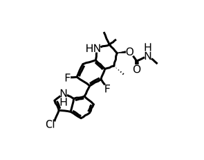 CNC(=O)O[C@H]1[C@H](C)c2c(cc(F)c(-c3cccc4c(Cl)c[nH]c34)c2F)NC1(C)C